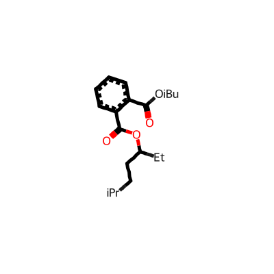 CCC(CCC(C)C)OC(=O)c1ccccc1C(=O)OCC(C)C